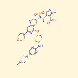 CC(c1cnn(C)c1[N+](=O)[O-])N(c1cnc2cc(N3CCOCC3)nc(OC3CCC(Nc4ncc(N5CCN(C)CC5)cn4)CC3)c2c1)S(C)(=O)=O